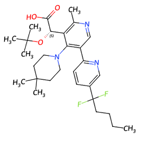 CCCCC(F)(F)c1ccc(-c2cnc(C)c([C@H](OC(C)(C)C)C(=O)O)c2N2CCC(C)(C)CC2)nc1